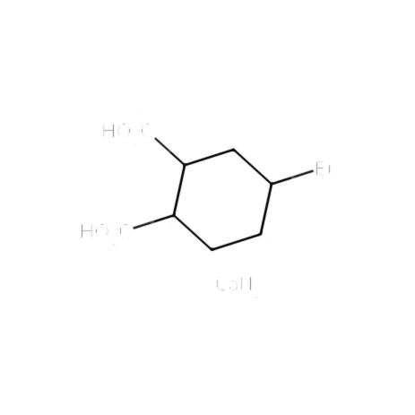 CCC1CCC(C(=O)O)C(C(=O)O)C1.[CaH2]